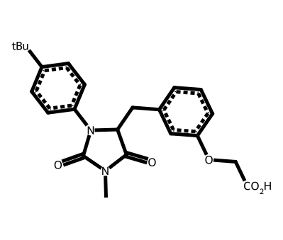 CN1C(=O)C(Cc2cccc(OCC(=O)O)c2)N(c2ccc(C(C)(C)C)cc2)C1=O